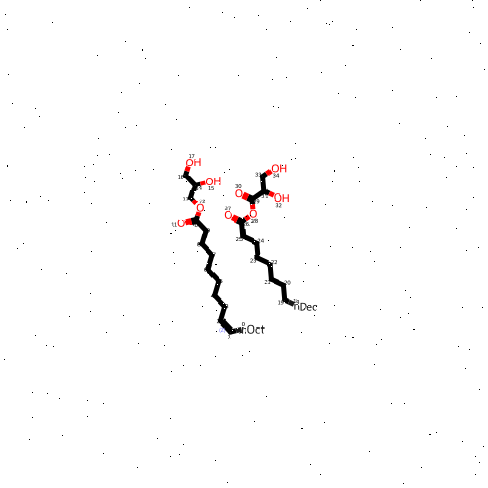 CCCCCCCC/C=C\CCCCCCCC(=O)OCC(O)CO.CCCCCCCCCCCCCCCCCC(=O)OC(=O)C(O)CO